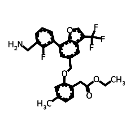 CCOC(=O)Cc1ccc(C)cc1OCc1cc(-c2cccc(CN)c2F)c2occ(C(F)(F)F)c2c1